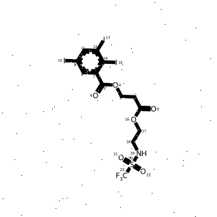 O=C(CCOC(=O)c1cc(I)cc(I)c1I)OCCNS(=O)(=O)C(F)(F)F